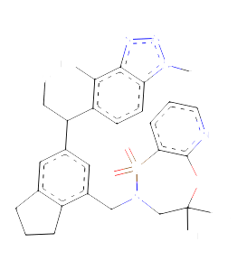 Cc1c(C(CC(=O)O)c2cc3c(c(CN4CC(C)(C)Oc5ncccc5S4(=O)=O)c2)CCC3)ccc2c1nnn2C